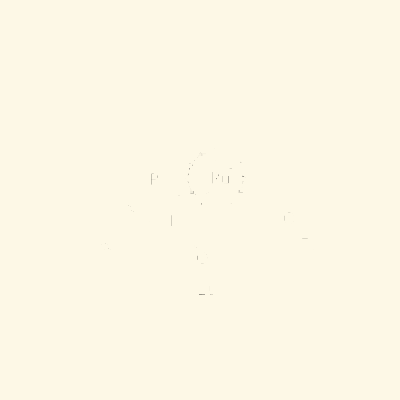 CCOC[C]12[CH]3[CH]4[CH]5[C]1(P(c1ccccc1)c1ccccc1)[Ru]43521678[CH]2[CH]1[C]6(COCC)[C@@]7(P(c1ccccc1)c1ccccc1)[CH]28